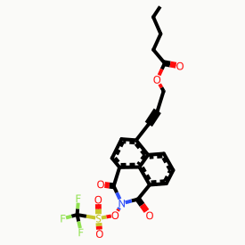 CCCCC(=O)OCC#Cc1ccc2c3c(cccc13)C(=O)N(OS(=O)(=O)C(F)(F)F)C2=O